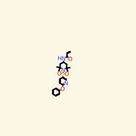 C=CC(=O)NC1CC(C)(C)N(S(=O)(=O)c2ccc(Oc3ccccc3)nc2)C(C)(C)C1